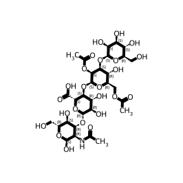 CC(=O)N[C@@H]1[C@@H](O[C@@H]2O[C@H](C(=O)O)[C@@H](O[C@@H]3O[C@H](COC(C)=O)[C@@H](O)[C@H](O[C@@H]4O[C@H](CO)[C@@H](O)[C@H](O)[C@@H]4O)[C@@H]3OC(C)=O)[C@H](O)[C@H]2O)[C@H](O)[C@@H](CO)O[C@@H]1O